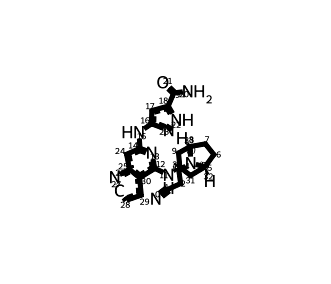 N#CCCN1[C@@H]2CC[C@H]1C[C@H](Nc1nc(Nc3cc(C(N)=O)[nH]n3)cc3ncccc13)C2